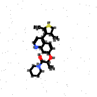 CC1=C(c2ccnc3cc(OC(C)C(=O)N4CCCCC4)ccc23)C(C)CS1